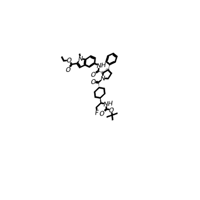 CCOC(=O)c1cc2cc(NC(=O)[C@@H]3[C@H](c4ccccc4)CCN3C(=O)[C@H]3CC[C@H](C(CF)NC(=O)OC(C)(C)C)CC3)ccc2n1C